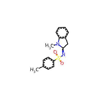 Cc1ccc(S(=O)(=O)N=C2Cc3ccccc3N2C)cc1